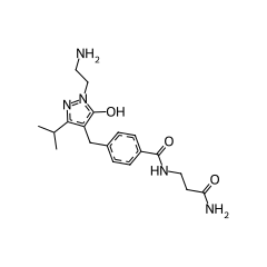 CC(C)c1nn(CCN)c(O)c1Cc1ccc(C(=O)NCCC(N)=O)cc1